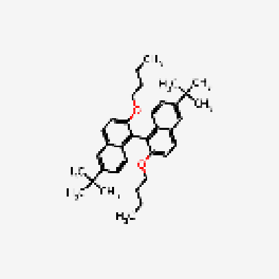 CCCCOc1ccc2cc(C(C)(C)C)ccc2c1-c1c(OCCCC)ccc2cc(C(C)(C)C)ccc12